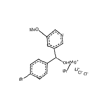 COc1cncc(C(O)c2ccc(Br)cc2)c1.C[CH](C)[Mg+].[Cl-].[Cl-].[Li+]